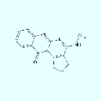 CNc1nc2nc3ccccc3c(=O)n2c2c1CCC2